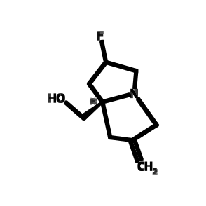 C=C1CN2CC(F)C[C@@]2(CO)C1